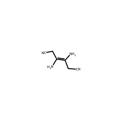 N#CCC(N)=C(N)CC#N